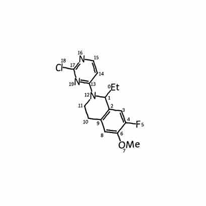 CCC1c2cc(F)c(OC)cc2CCN1c1ccnc(Cl)n1